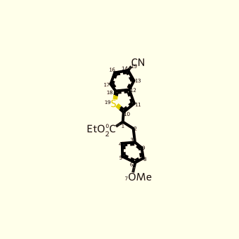 CCOC(=O)C(Cc1ccc(OC)cc1)c1cc2cc(C#N)ccc2s1